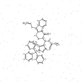 C=CCc1c2n(c3ccccc13)C(=O)C(C(OC(C)=O)c1ncn(C(c3ccccc3)(c3ccccc3)c3ccccc3)c1C)CC2